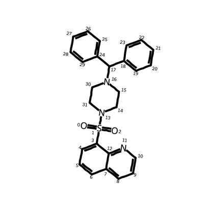 O=S(=O)(c1cccc2cccnc12)N1CCN(C(c2ccccc2)c2ccccc2)CC1